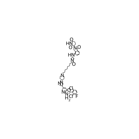 CC(Oc1cc(-c2cnn(C3CCN(CCCCCCCC(=O)N4CC(Nc5cccc6c5CN(C5CCC(=O)NC5=O)C6=O)C4)CC3)c2)cnc1N)c1c(Cl)ccc(F)c1Cl